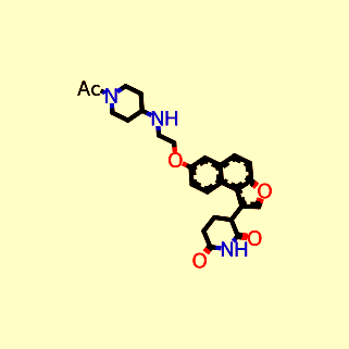 CC(=O)N1CCC(NCCOc2ccc3c(ccc4occ(C5CCC(=O)NC5=O)c43)c2)CC1